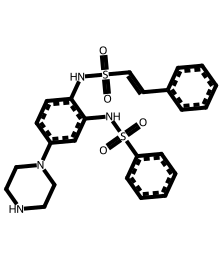 O=S(=O)(C=Cc1ccccc1)Nc1ccc(N2CCNCC2)cc1NS(=O)(=O)c1ccccc1